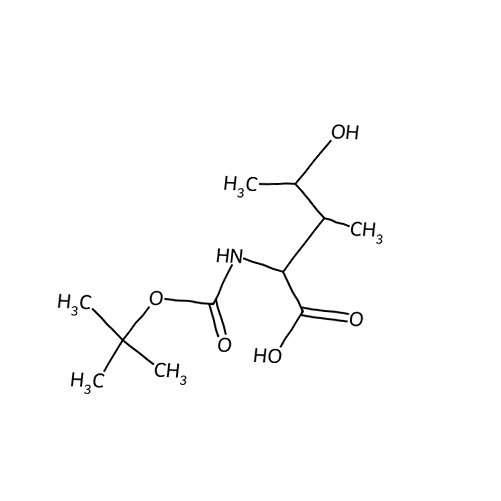 CC(O)C(C)C(NC(=O)OC(C)(C)C)C(=O)O